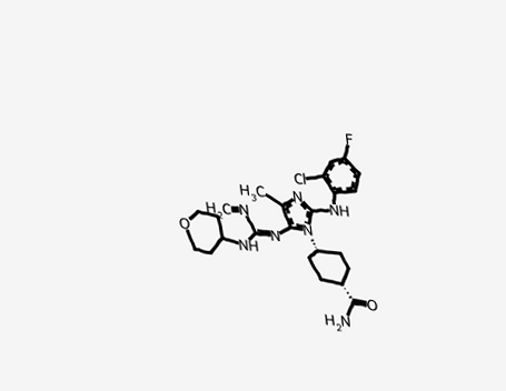 C=N/C(=N\c1c(C)nc(Nc2ccc(F)cc2Cl)n1[C@H]1CC[C@@H](C(N)=O)CC1)NC1CCOCC1